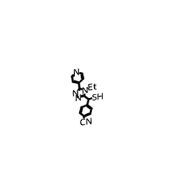 CCn1c(-c2ccncc2)nnc1C(S)c1ccc(C#N)cc1